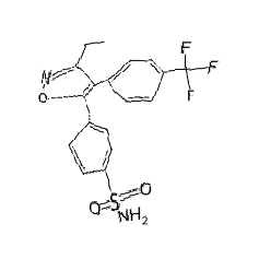 CCc1noc(-c2ccc(S(N)(=O)=O)cc2)c1-c1ccc(C(F)(F)F)cc1